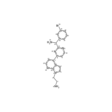 NCCn1ccc2c(-c3ccnc(C(N)c4cccc(Br)c4)n3)ccnc21